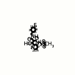 CS(=O)(=O)CCn1c(=O)c(C(=O)NCc2ccc(F)cc2)c(O)c2ncccc21